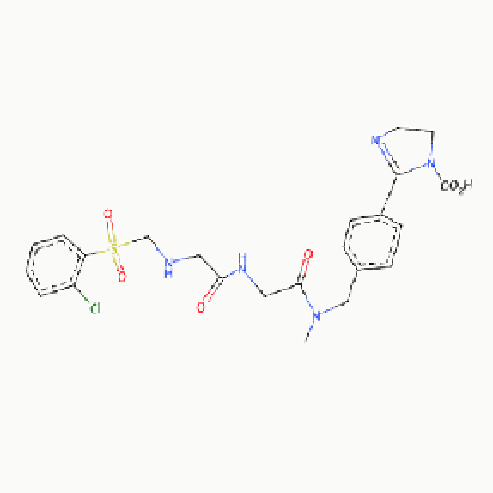 CN(Cc1ccc(C2=NCCN2C(=O)O)cc1)C(=O)CNC(=O)CNCS(=O)(=O)c1ccccc1Cl